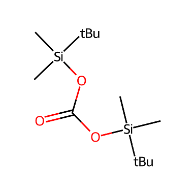 CC(C)(C)[Si](C)(C)OC(=O)O[Si](C)(C)C(C)(C)C